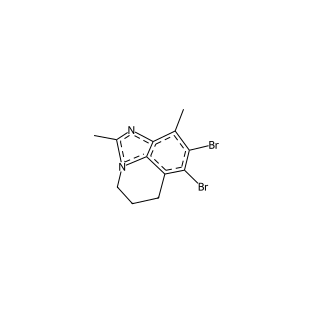 Cc1c(Br)c(Br)c2c3c1nc(C)n3CCC2